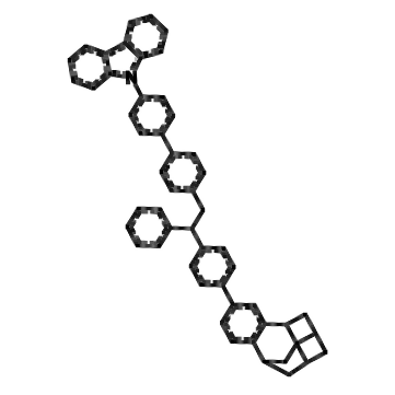 c1ccc(C(Cc2ccc(-c3ccc(-n4c5ccccc5c5ccccc54)cc3)cc2)c2ccc(-c3ccc4c(c3)C3CC5CC6CC4CC653)cc2)cc1